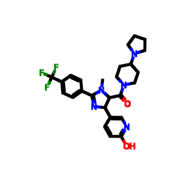 CN1C(c2ccc(C(F)(F)F)cc2)=NC(c2ccc(O)nc2)C1C(=O)N1CCC(N2CCCC2)CC1